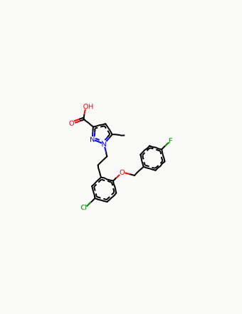 Cc1cc(C(=O)O)nn1CCc1cc(Cl)ccc1OCc1ccc(F)cc1